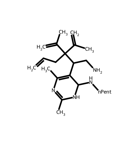 C=CCC(C(=C)C)(C(=C)C)C(CN)C1=C(C)N=C(C)NC1NCCCCC